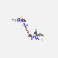 C=C1CCC(N2C(=O)c3cccc(OCC(=O)NCCOCCOCCOc4ccc(NC(=O)C[C@@H]5N=C(c6ccc(Cl)cc6)c6c(sc(C)c6C)-n6c(C)nnc65)cc4)c3C2=O)C(=O)N1